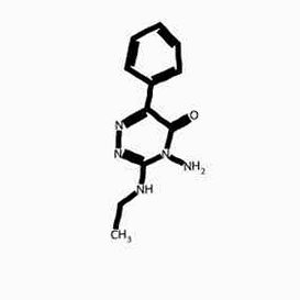 CCNc1nnc(-c2ccccc2)c(=O)n1N